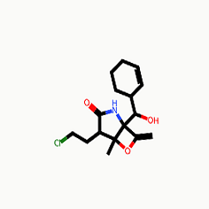 C=C1OC2(C)C(CCCl)C(=O)NC12C(O)C1C=CCCC1